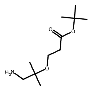 CC(C)(C)OC(=O)CCOC(C)(C)CN